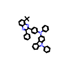 CC(C)(C)c1cccc2nc(-c3ccccc3)c(-c3ccc(N(c4ccccc4)c4ccc5c(c4)c4ccccc4n5-c4ccccc4)cc3)nc12